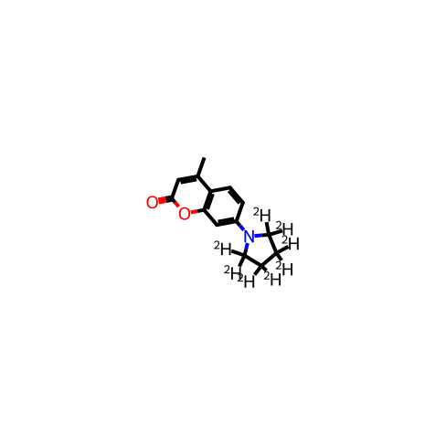 [2H]C1([2H])N(c2ccc3c(C)cc(=O)oc3c2)C([2H])([2H])C([2H])([2H])C1([2H])[2H]